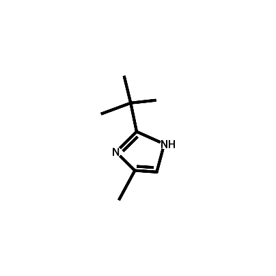 Cc1c[nH]c(C(C)(C)C)n1